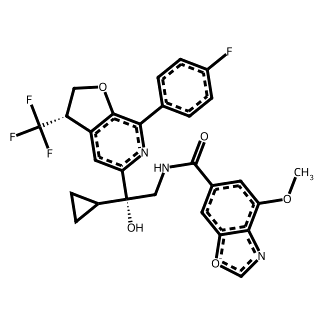 COc1cc(C(=O)NC[C@](O)(c2cc3c(c(-c4ccc(F)cc4)n2)OC[C@H]3C(F)(F)F)C2CC2)cc2ocnc12